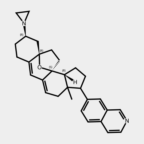 CC12CC=C3C=C4CC[C@@H](N5CC5)C[C@]45CC[C@]3(O5)[C@@H]1CCC2c1ccc2ccncc2c1